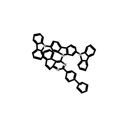 c1ccc(-c2ccc(-c3nc(-n4c5cc(-n6c7ccccc7c7ccccc76)ccc5c5ccc(-n6c7ccccc7c7ccccc76)cc54)c4c(ccc5ccccc54)n3)cc2)cc1